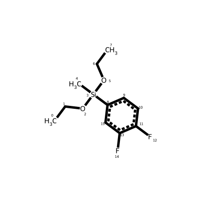 CCO[Si](C)(OCC)c1ccc(F)c(F)c1